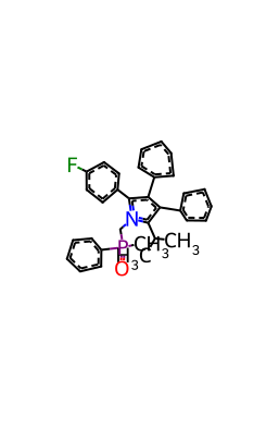 CC(C)c1c(-c2ccccc2)c(-c2ccccc2)c(-c2ccc(F)cc2)n1CP(C)(=O)c1ccccc1